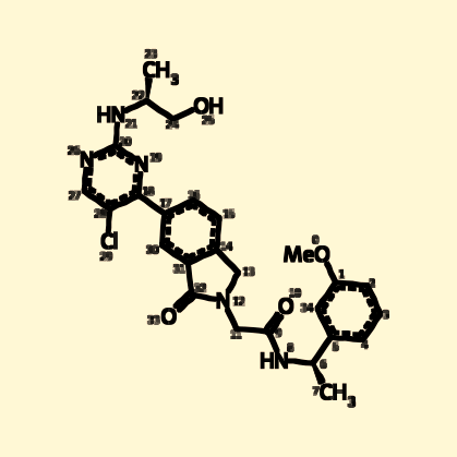 COc1cccc([C@@H](C)NC(=O)CN2Cc3ccc(-c4nc(N[C@@H](C)CO)ncc4Cl)cc3C2=O)c1